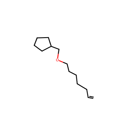 C=CCCCCCOCC1CCCC1